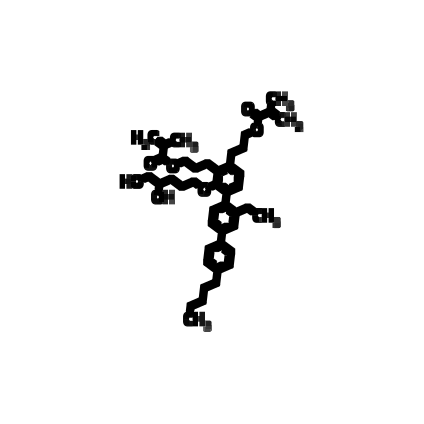 C=C(C)C(=O)OCCCc1ccc(-c2ccc(-c3ccc(CCCCC)cc3)cc2CC)c(OCCCC(O)CO)c1CCCOC(=O)C(=C)C